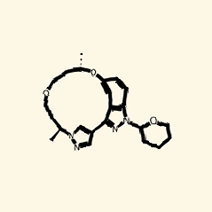 C[C@H]1CCOCC[C@H](C)n2cc(cn2)-c2nn(C3CCCCO3)c3ccc(cc23)O1